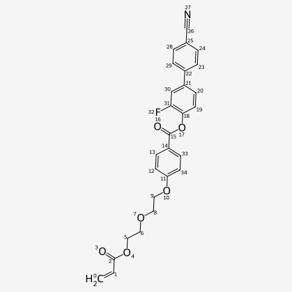 C=CC(=O)OCCOCCOc1ccc(C(=O)Oc2ccc(-c3ccc(C#N)cc3)cc2F)cc1